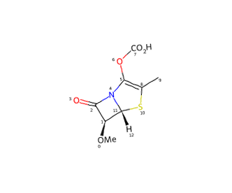 CO[C@H]1C(=O)N2C(OC(=O)O)=C(C)S[C@H]12